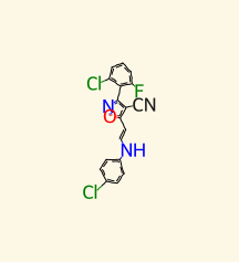 N#Cc1c(-c2c(F)cccc2Cl)noc1C=CNc1ccc(Cl)cc1